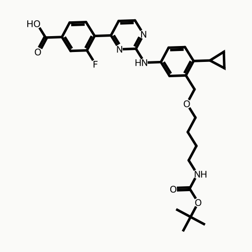 CC(C)(C)OC(=O)NCCCCOCc1cc(Nc2nccc(-c3ccc(C(=O)O)cc3F)n2)ccc1C1CC1